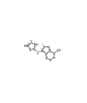 Clc1cccc2c1ccn2Cc1c[nH]cn1